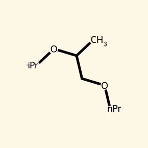 [CH2][C](C)OC(C)COCCC